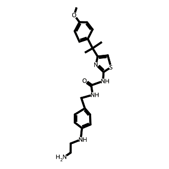 COc1ccc(C(C)(C)c2csc(NC(=O)NCc3ccc(NCCN)cc3)n2)cc1